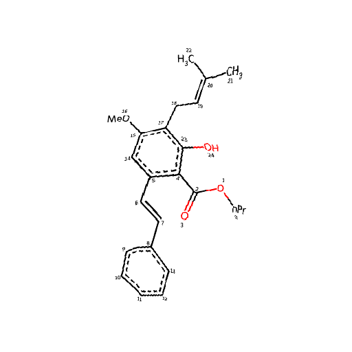 CCCOC(=O)c1c(/C=C/c2ccccc2)cc(OC)c(CC=C(C)C)c1O